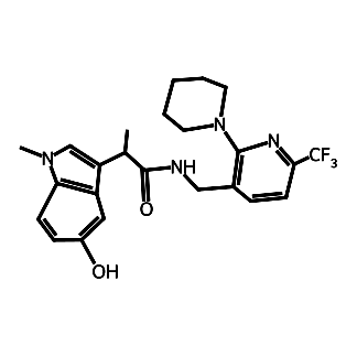 CC(C(=O)NCc1ccc(C(F)(F)F)nc1N1CCCCC1)c1cn(C)c2ccc(O)cc12